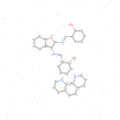 Oc1ccccc1/C=N/c1oc2ccccc2c1/N=C/c1ccccc1O.c1cnc2c(c1)ccc1cccnc12